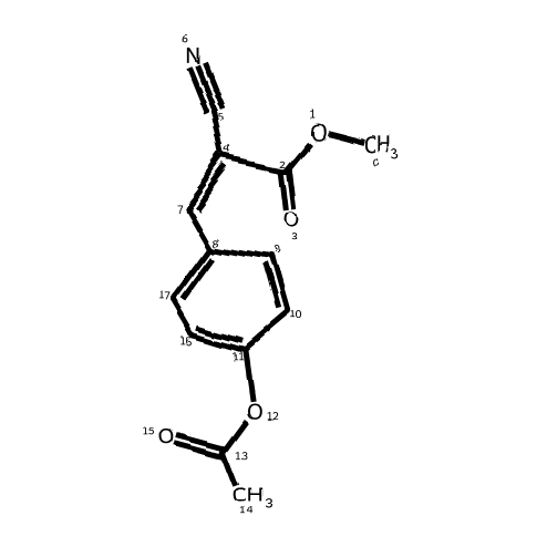 COC(=O)C(C#N)=Cc1ccc(OC(C)=O)cc1